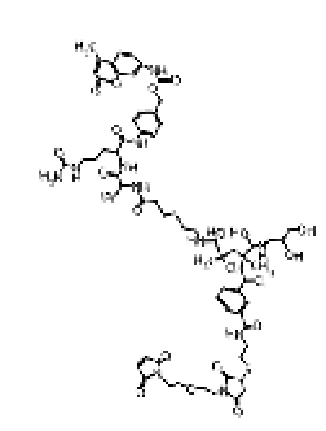 Cc1cc(=O)oc2cc(NC(=O)OCc3ccc(NC(=O)C(CCCNC(N)=O)NC(=O)C(NC(=O)CCCCCNC(O)C(C)(Cl)CC(C)(CC(Cl)c4cccc(C(=O)NCCSC5CC(=O)N(CCOCCN6C(=O)C=CC6=O)C5=O)c4)C(O)NCC(O)CO)C(C)C)cc3)ccc12